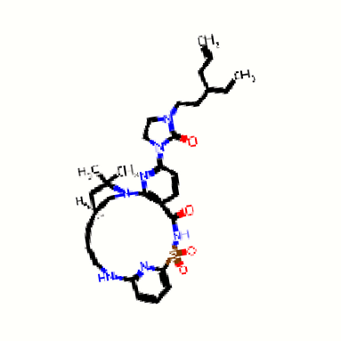 C=CCC(CC)CCN1CCN(c2ccc3c(n2)N2C[C@@H](CCCNc4cccc(n4)S(=O)(=O)NC3=O)CC2(C)C)C1=O